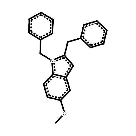 COc1ccc2c(c1)cc(Cc1ccccc1)n2Cc1ccccc1